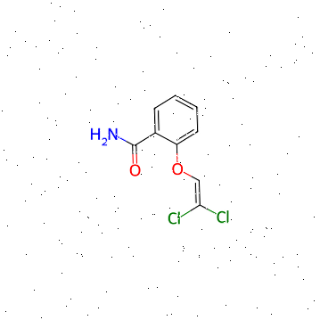 NC(=O)c1ccccc1OC=C(Cl)Cl